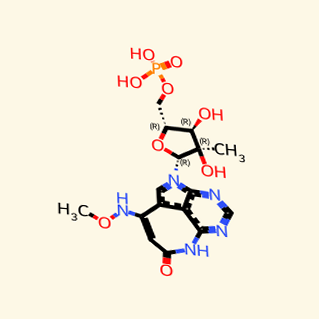 CONC1=CC(=O)Nc2ncnc3c2c1cn3[C@@H]1O[C@H](COP(=O)(O)O)[C@@H](O)[C@@]1(C)O